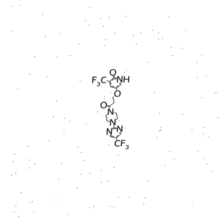 O=C(CCOc1c[nH]c(=O)c(C(F)(F)F)c1)N1CCN(c2ncc(C(F)(F)F)cn2)CC1